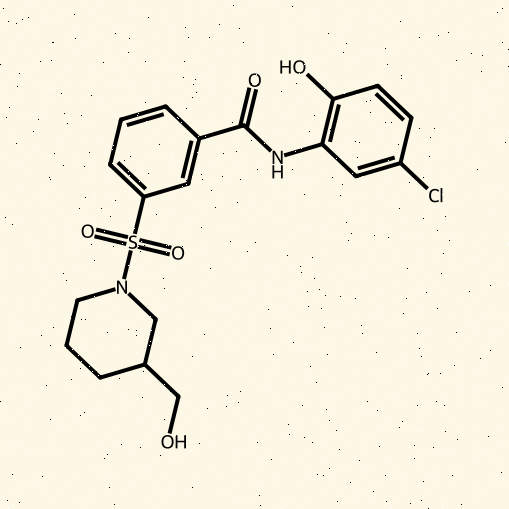 O=C(Nc1cc(Cl)ccc1O)c1cccc(S(=O)(=O)N2CCCC(CO)C2)c1